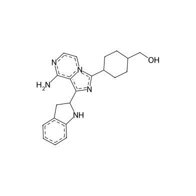 Nc1nccn2c(C3CCC(CO)CC3)nc(C3Cc4ccccc4N3)c12